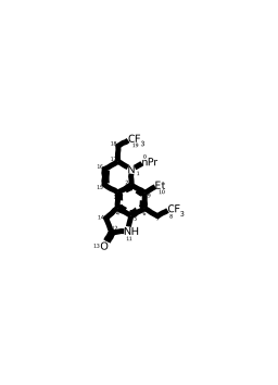 CCCN1c2c(c3c(c(CC(F)(F)F)c2CC)NC(=O)C3)C=CC1CC(F)(F)F